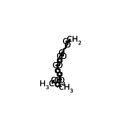 C=CC(=O)OCCCCOC(=O)Oc1ccc(OC(=O)c2ccc3cc(C(=O)OC4CC(C)CCC4C(C)C)ccc3c2)cc1